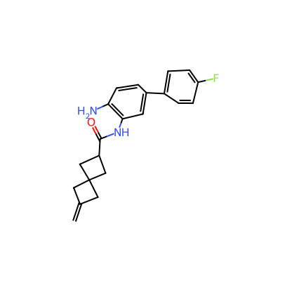 C=C1CC2(C1)CC(C(=O)Nc1cc(-c3ccc(F)cc3)ccc1N)C2